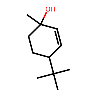 CC1(O)C=CC(C(C)(C)C)CC1